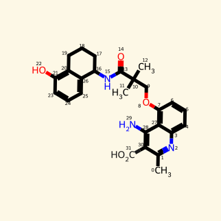 Cc1nc2cccc(OCC(C)(C)C(=O)NC3CCCc4c(O)cccc43)c2c(N)c1C(=O)O